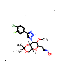 CO[C@@H]1[C@@H](n2cc(-c3ccc(Cl)c(F)c3)nn2)[C@H]2OC(C)(C)OC[C@H]2O[C@@H]1CC=NO